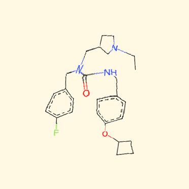 CCN1CCC(CN(Cc2ccc(F)cc2)C(=O)NCc2ccc(OC3CCC3)cc2)C1